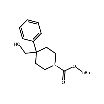 CCCCOC(=O)N1CCC(CO)(c2ccccc2)CC1